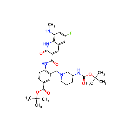 CNc1cc(F)cc2cc(C(=O)Nc3ccc(C(=O)OC(C)(C)C)cc3CN3CCCC(NC(=O)OC(C)(C)C)C3)c(=O)[nH]c12